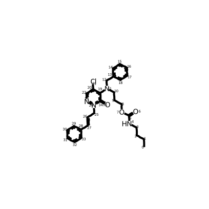 CCCCNC(=O)OCCCN(Cc1ccccc1)c1c(Cl)cnn(C/C=C/c2ccccc2)c1=O